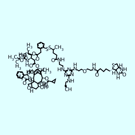 C#CCNc1nc(NCCNC(=O)CCC(C)SSc2ccccc2CC(=O)O[C@@H](C(=O)O[C@H]2C[C@@]3(O)[C@@H](OC(=O)c4ccccc4)[C@@H]4[C@]5(OC(C)=O)CO[C@@H]5C[C@H](O)[C@@]4(C)C(=O)[C@H](OC(=O)C4CC4)C(=C2C)C3(C)C)[C@H](C=C(C)C)NC(=O)OC(C)(C)C)nc(NCCOCCNC(=O)CCCC[C@@H]2SC[C@@H]3NC(=O)N[C@@H]32)n1